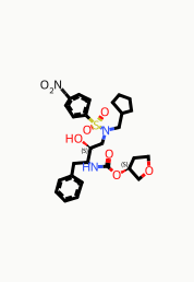 O=C(NC(Cc1ccccc1)[C@@H](O)CN(CC1CCCC1)S(=O)(=O)c1ccc([N+](=O)[O-])cc1)O[C@H]1CCOC1